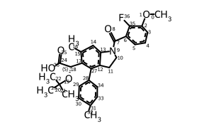 COc1cccc(C(=O)N2CCc3c2cc(C)c([C@H](OC(C)(C)C)C(=O)O)c3-c2ccc(C)cc2)c1F